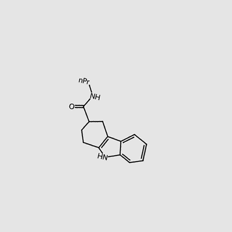 CCCNC(=O)C1CCc2[nH]c3ccccc3c2C1